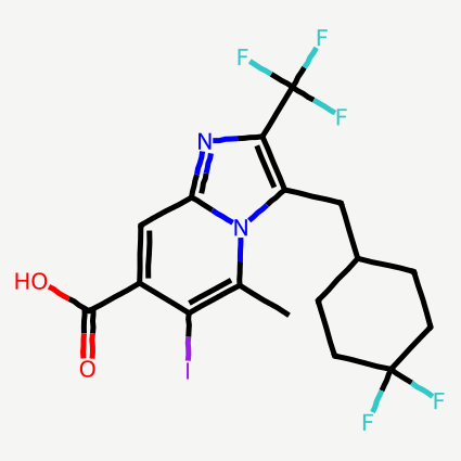 Cc1c(I)c(C(=O)O)cc2nc(C(F)(F)F)c(CC3CCC(F)(F)CC3)n12